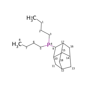 CCCCP(CCCC)C1C2CC3CC(C2)CC1C3